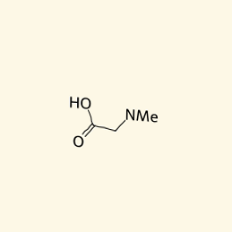 [CH2]NCC(=O)O